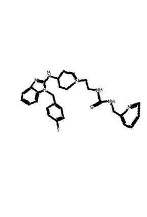 Fc1ccc(Cn2c(NC3CCN(CCNC(=S)NCc4ccccn4)CC3)nc3ccccc32)cc1